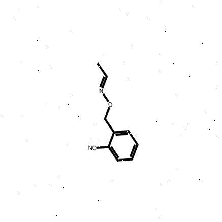 CC=NOCc1ccccc1C#N